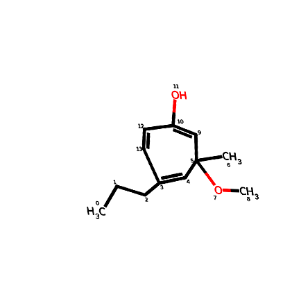 CCCC1=CC(C)(OC)C=C(O)C=C1